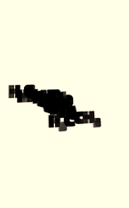 Br.CNNCc1ccc(C(=O)NCC(C)C)cc1